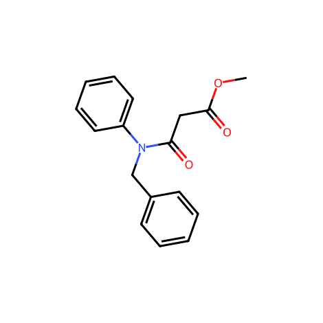 COC(=O)CC(=O)N(Cc1ccccc1)c1ccccc1